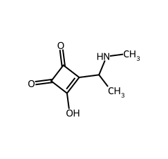 CNC(C)c1c(O)c(=O)c1=O